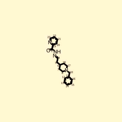 O=C(N/N=C/CC1CCN(Cc2ccccc2)CC1)c1ccccn1